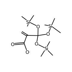 C=C(C([O])=O)C(O[Si](C)(C)C)(O[Si](C)(C)C)O[Si](C)(C)C